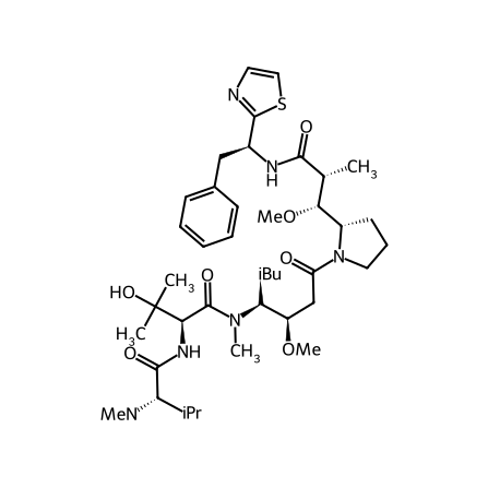 CC[C@H](C)[C@@H]([C@@H](CC(=O)N1CCC[C@H]1[C@H](OC)[C@@H](C)C(=O)N[C@@H](Cc1ccccc1)c1nccs1)OC)N(C)C(=O)[C@@H](NC(=O)[C@@H](NC)C(C)C)C(C)(C)O